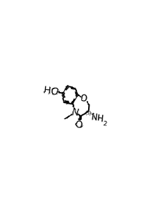 CN1C(=O)[C@@H](N)COc2ccc(O)cc21